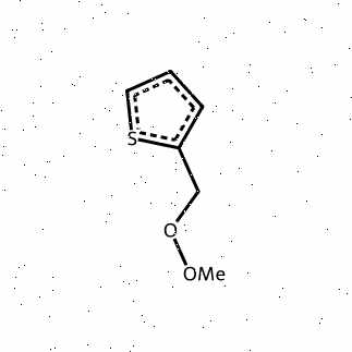 COOCc1cccs1